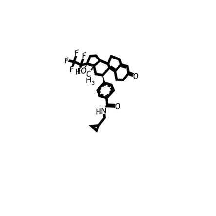 C[C@]12C[C@H](c3ccc(C(=O)NCC4CC4)cc3)C3=C4CCC(=O)C=C4CCC3C1CC[C@]2(O)C(F)(F)C(F)(F)F